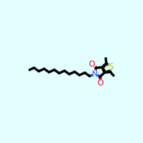 CCCCCCCCCCCCCN1C(=O)c2c(C)sc(C)c2C1=O